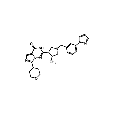 CC1CN(Cc2cccc(-n3cccn3)c2)CC1c1nn2c(C3CCOCC3)ncc2c(=O)[nH]1